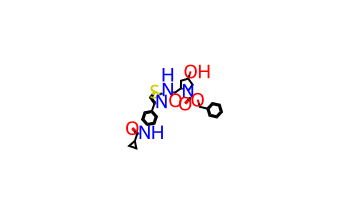 O=C(Nc1ccc(-c2csc(NC(=O)C3CC(O)CN3C(=O)OCc3ccccc3)n2)cc1)C1CC1